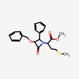 COC(=O)C(CCSC)N1C(=O)C(OCc2ccccc2)C1c1ccccc1